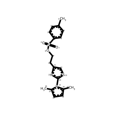 Cc1ccc(S(=O)(=O)OCCc2csc(-n3c(C)ccc3C)n2)cc1